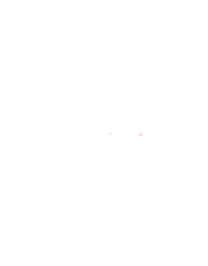 O[Si](O)(O)OF.[Zr]